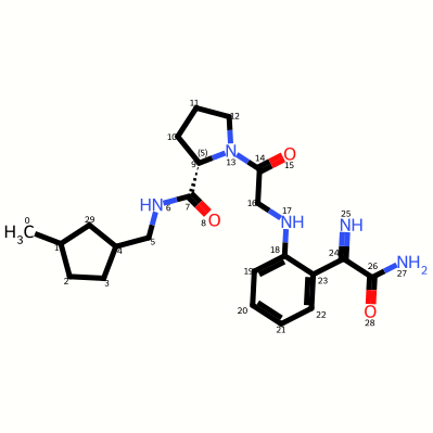 CC1CCC(CNC(=O)[C@@H]2CCCN2C(=O)CNc2ccccc2C(=N)C(N)=O)C1